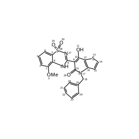 COc1cccc2c1NC(c1c(O)c3sccc3n(Cc3ccccc3)c1=O)=NS2(=O)=O